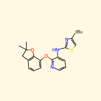 CC1(C)Cc2cccc(Oc3ncccc3Nc3nc(C(C)(C)C)cs3)c2O1